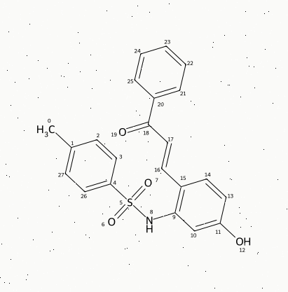 Cc1ccc(S(=O)(=O)Nc2cc(O)ccc2/C=C/C(=O)c2ccccc2)cc1